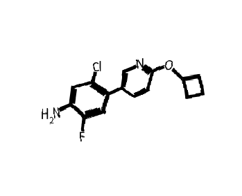 Nc1cc(Cl)c(-c2ccc(OC3CCC3)nc2)cc1F